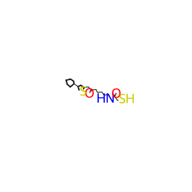 O=C(CCCCCNC(=O)CS)Cc1cc(-c2ccccc2)cs1